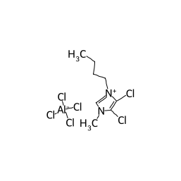 CCCC[n+]1cn(C)c(Cl)c1Cl.[Cl][Al-]([Cl])([Cl])[Cl]